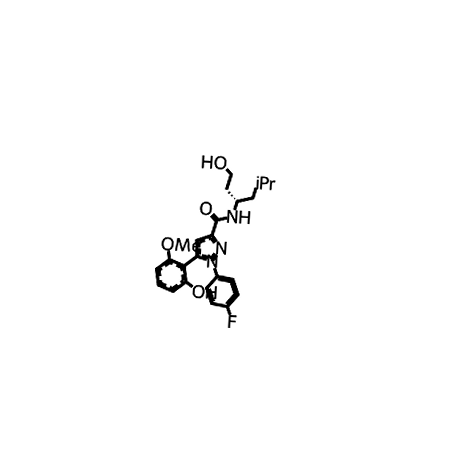 COc1cccc(O)c1-c1cc(C(=O)N[C@H](CCO)CC(C)C)nn1C1=C=C=C(F)C=C1